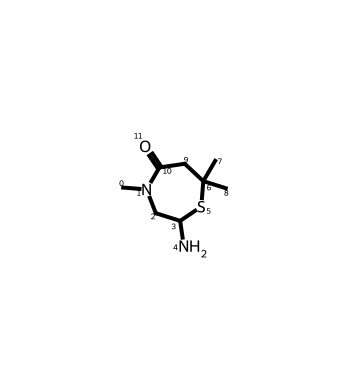 CN1CC(N)SC(C)(C)CC1=O